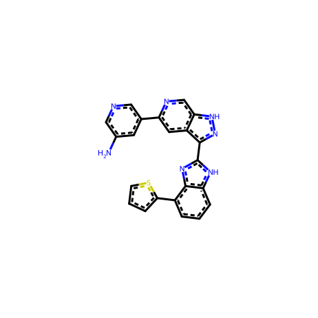 Nc1cncc(-c2cc3c(-c4nc5c(-c6cccs6)cccc5[nH]4)n[nH]c3cn2)c1